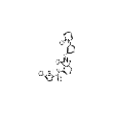 O=C(Nc1cccc2c1C(=O)N(Cc1cccc(-n3ccccc3=O)c1)C2)c1ccc(Cl)s1